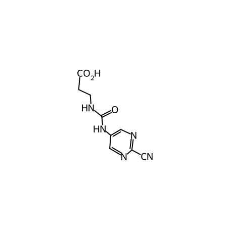 N#Cc1ncc(NC(=O)NCCC(=O)O)cn1